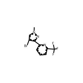 Cn1cc(Br)c(-c2cccc(C(F)(F)F)n2)n1